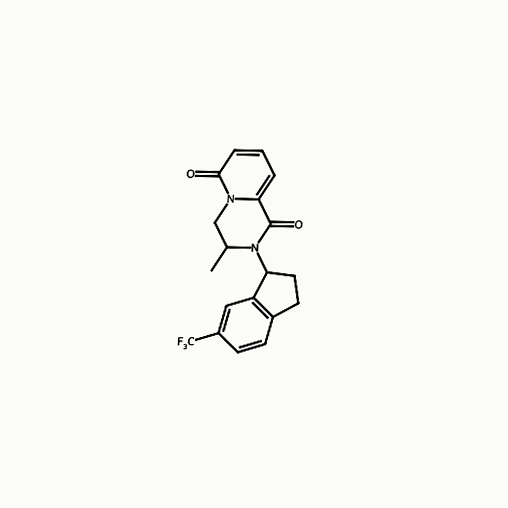 CC1Cn2c(cccc2=O)C(=O)N1C1CCc2ccc(C(F)(F)F)cc21